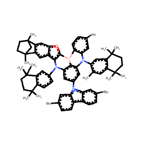 Cc1cc2c(cc1N1c3cc(C(C)(C)C)ccc3B3c4oc5cc6c(cc5c4N(c4ccc5c(c4)C(C)(C)CCC5(C)C)c4cc(-n5c7cc(C(C)(C)C)ccc7c7ccc(C(C)(C)C)cc75)cc1c43)C1(C)CCC6(C)C1)C(C)(C)CCC2(C)C